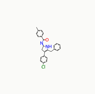 Cc1ccc(C(=O)/N=C2/CC(c3ccc(Cl)cc3)=C(Cc3ccccc3)N2)cc1